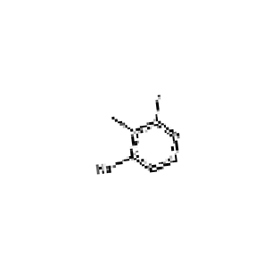 Cc1ccc[c]([Na])c1C